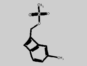 Cc1ccc2c(c1)C(COS(C)(=O)=O)=C2